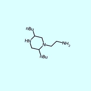 CCCCC1CN(CCN)C(CCCC)CN1